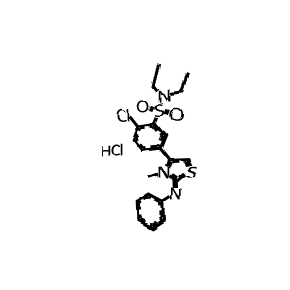 CCN(CC)S(=O)(=O)c1cc(-c2csc(=Nc3ccccc3)n2C)ccc1Cl.Cl